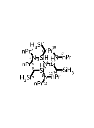 CCCN(CCC)[SiH](C[SiH3])N([SiH](C[SiH3])N(CCC)CCC)[SiH](C[SiH3])N(CCC)CCC